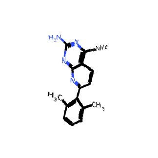 CNc1nc(N)nc2nc(-c3c(C)cccc3C)ccc12